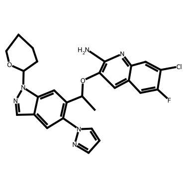 CC(Oc1cc2cc(F)c(Cl)cc2nc1N)c1cc2c(cnn2C2CCCCO2)cc1-n1cccn1